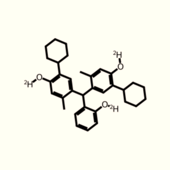 [2H]Oc1cc(C)c(C(c2cc(C3CCCCC3)c(O[2H])cc2C)c2ccccc2O[2H])cc1C1CCCCC1